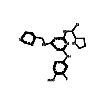 CCC(Nc1nc(NCc2ccncn2)nc(Nc2ccc(OC)c(F)c2)n1)C1CCCN1